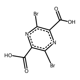 O=C(O)c1nc(Br)c(C(=O)O)nc1Br